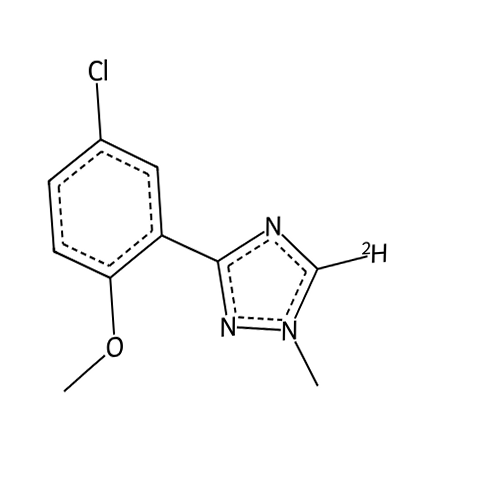 [2H]c1nc(-c2cc(Cl)ccc2OC)nn1C